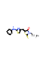 CCOC(=O)CN1C(=O)/C(=C/c2csc(Nc3ccccc3)n2)SC1=S